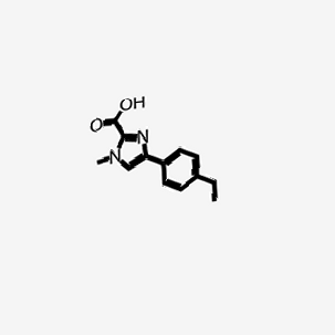 CCc1ccc(-c2cn(C)c(C(=O)O)n2)cc1